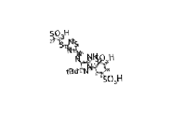 CC(C)(C)c1nn(-c2cc(S(=O)(=O)O)ccc2S(=O)(=O)O)c(N)c1N=Nc1nc(SCCS(=O)(=O)O)ns1